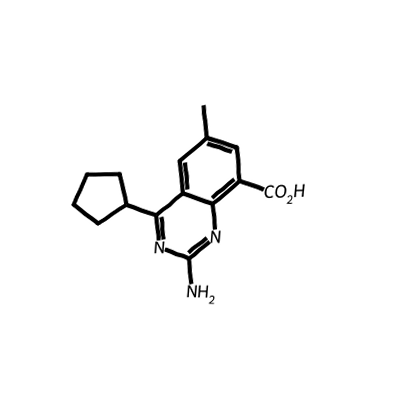 Cc1cc(C(=O)O)c2nc(N)nc(C3CCCC3)c2c1